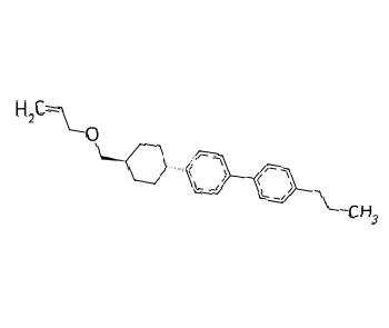 C=CCOC[C@H]1CC[C@H](c2ccc(-c3ccc(CCC)cc3)cc2)CC1